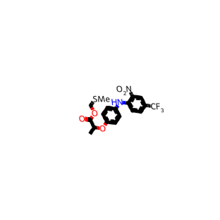 CSCOC(=O)C(C)Oc1ccc(Nc2ccc(C(F)(F)F)cc2[N+](=O)[O-])cc1